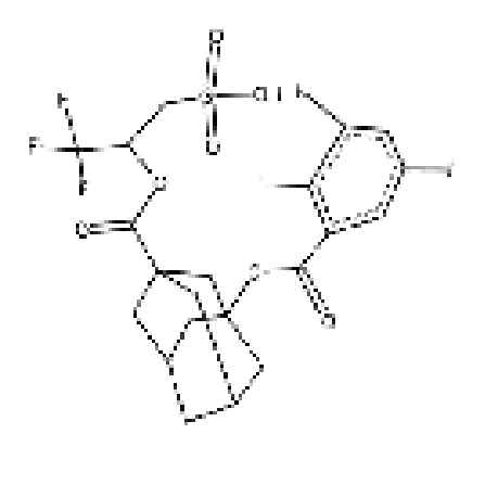 O=C(OC12CC3CC(C1)CC(C(=O)OC(CS(=O)(=O)O)C(F)(F)F)(C3)C2)c1cc(I)cc(I)c1I